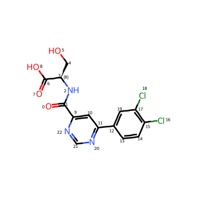 O=C(N[C@H](CO)C(=O)O)c1cc(-c2ccc(Cl)c(Cl)c2)ncn1